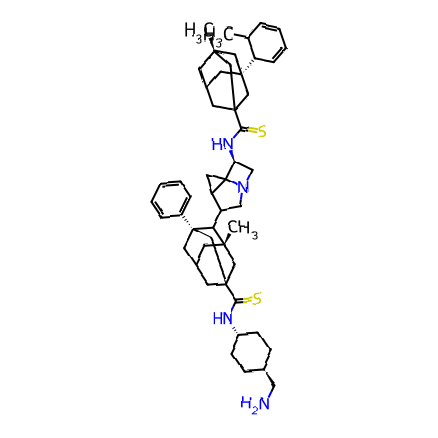 CC1C=CC=CC1[C@]12CC3CC(C(=S)N[C@H]4CN5CC(C6[C@@]7(C)CC8CC(C(=S)N[C@H]9CC[C@H](CN)CC9)(C7)C[C@@]6(c6ccccc6)C8)C6CC645)(C[C@](C)(C3)C1)C2